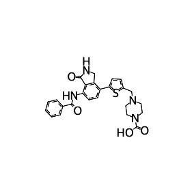 O=C(Nc1ccc(-c2ccc(CN3CCN(C(=O)O)CC3)s2)c2c1C(=O)NC2)c1ccccc1